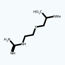 CNC(CSCCNC(=N)N)C(=O)O